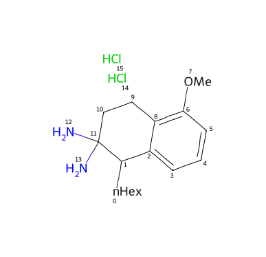 CCCCCCC1c2cccc(OC)c2CCC1(N)N.Cl.Cl